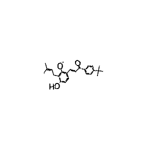 COc1c(/C=C/C(=O)c2ccc(C(C)(C)C)cc2)ccc(O)c1CC=C(C)C